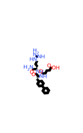 N=C(N)NCCC[C@@H](NC(=O)[C@@H](Cc1ccc(-c2ccccc2)cc1)NC(=O)CCCC(=O)O)C(N)=O